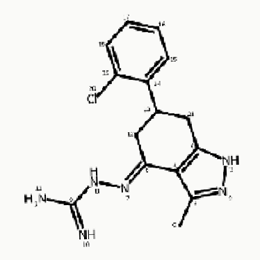 Cc1n[nH]c2c1C(=NNC(=N)N)CC(c1ccccc1Cl)C2